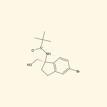 CC(C)(C)[S+]([O-])N[C@]1(CO)CCc2cc(Br)ccc21